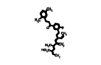 C=C(/C=C(\C=C/C)CCc1cc(C(=O)CCc2cc(C)ccc2C)ccc1F)/C(C)=C/C(=C\C)C(=O)O